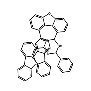 c1ccc(C2N=C(c3cccc4c3sc3ccccc34)NC(c3cccc4oc5cccc(-c6ccc7c(c6)sc6ccccc67)c5c34)N2)cc1